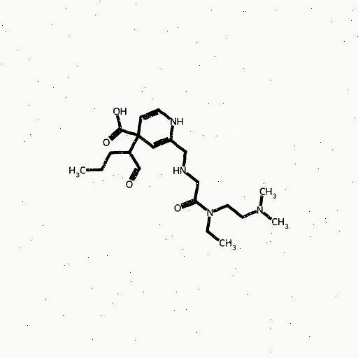 CCCC(C=O)C1(C(=O)O)C=CNC(CNCC(=O)N(CC)CCN(C)C)=C1